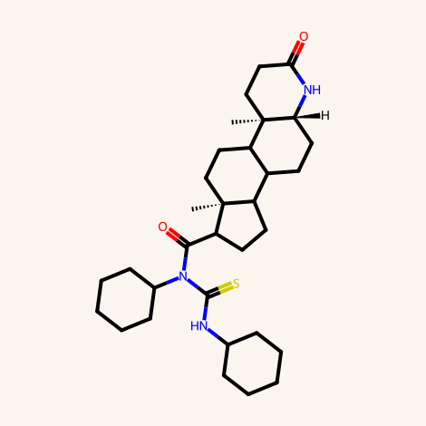 C[C@]12CCC3C(CC[C@H]4NC(=O)CC[C@]34C)C1CCC2C(=O)N(C(=S)NC1CCCCC1)C1CCCCC1